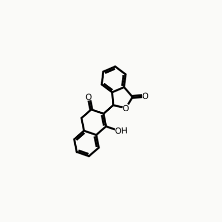 O=C1Cc2ccccc2C(O)=C1C1OC(=O)c2ccccc21